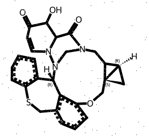 O=C1C=CN2C(C(=O)N3CC4[C@H]5C[C@@]45COc4cccc5c4[C@H](c4ccccc4SC5)N2C3)C1O